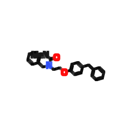 CNC(=O)N(CCOc1ccc(Cc2ccccc2)cc1)Cc1ccccc1